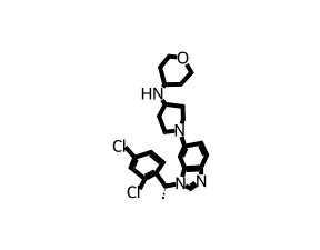 C[C@H](c1ccc(Cl)cc1Cl)n1cnc2ccc(N3CCC(NC4CCOCC4)CC3)cc21